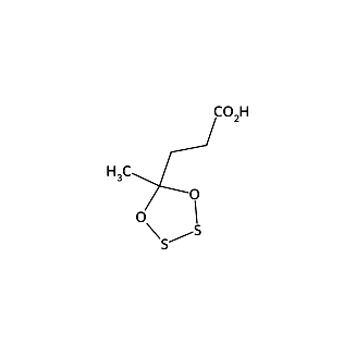 CC1(CCC(=O)O)OSSO1